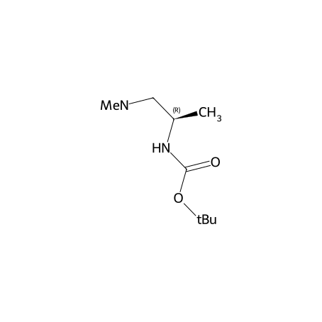 CNC[C@@H](C)NC(=O)OC(C)(C)C